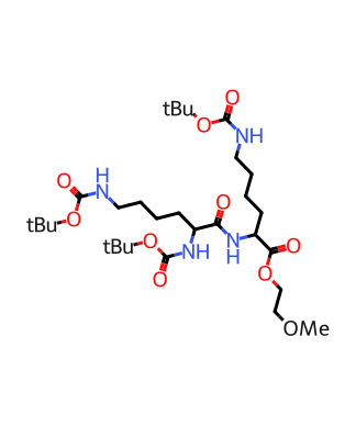 COCCOC(=O)C(CCCCNC(=O)OC(C)(C)C)NC(=O)C(CCCCNC(=O)OC(C)(C)C)NC(=O)OC(C)(C)C